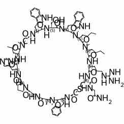 CCCC[C@H]1C(=O)N(C)[C@@H](CCCC)C(=O)N[C@@H](CCCNC(=N)N)C(=O)N[C@H](C(=O)NCC(N)=O)CSCC(=O)N[C@@H](Cc2ccccc2)C(=O)N(C)[C@@H](C)C(=O)N[C@H](C)C(=O)N2CCC[C@H]2C(=O)N[C@@H](Cc2cnc[nH]2)C(=O)N[C@@H](CC(C)C)C(=O)N(C)CC(=O)N[C@@H](Cc2c[nH]c3ccccc23)C(=O)N[C@@H](CO)C(=O)N[C@@H](Cc2c[nH]c3ccccc23)C(=O)N1C